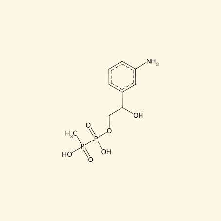 CP(=O)(O)P(=O)(O)OCC(O)c1cccc(N)c1